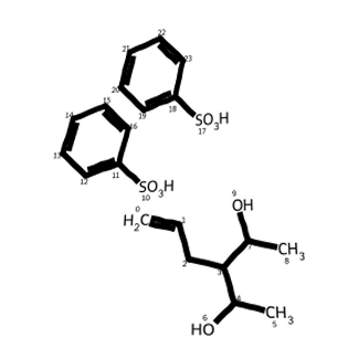 C=CCC(C(C)O)C(C)O.O=S(=O)(O)c1ccccc1.O=S(=O)(O)c1ccccc1